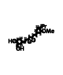 COc1cc(C=CC(=O)CC(=O)C=Cc2ccc(O)c(CO)c2)ccc1C(C)C